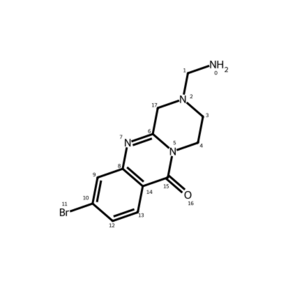 NCN1CCn2c(nc3cc(Br)ccc3c2=O)C1